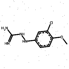 COc1ccc(NNC(=N)N)cc1Cl